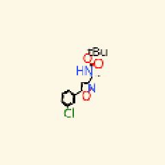 C[C@@H](NC(=O)OC(C)(C)C)c1cc(-c2cccc(Cl)c2)on1